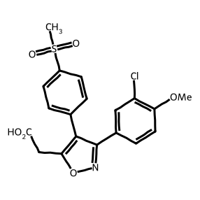 COc1ccc(-c2noc(CC(=O)O)c2-c2ccc(S(C)(=O)=O)cc2)cc1Cl